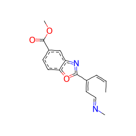 C\C=C/C(=C\C=N\C)c1nc2cc(C(=O)OC)ccc2o1